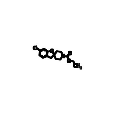 CCOC(=O)N1CCC2(CC1)Cc1ccc(Cl)cc1O2